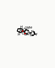 COC1CN(c2ncc(F)cn2)CCC1C1C[C@H]2CC[C@@H](C1)N2C(=O)OC(C)(C)C